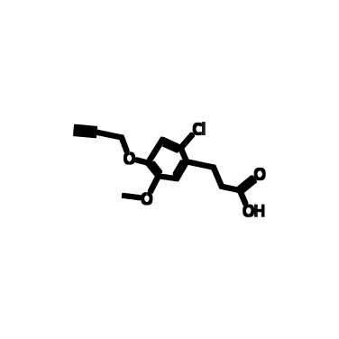 C#CCOc1cc(Cl)c(CCC(=O)O)cc1OC